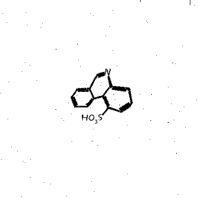 O=S(=O)(O)c1cccc2ncc3ccccc3c12